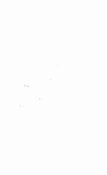 COc1c(Cl)cc2c(c1OC)C1CNCC1C2C